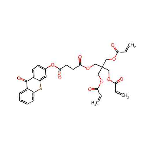 C=CC(=O)OCC(COC(=O)C=C)(COC(=O)C=C)COC(=O)CCC(=O)Oc1ccc2c(=O)c3ccccc3sc2c1